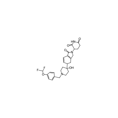 O=C1CCC(N2CC3=C(C=CC(C4(O)CCN(Cc5ccc(OC(F)F)cc5)CC4)C3)C2=O)C(=O)N1